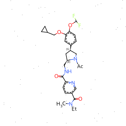 CCN(C)C(=O)c1ccc(C(=O)NC[C@H]2C[C@@H](c3ccc(OC(F)F)c(OCC4CC4)c3)CN2C(C)=O)nc1